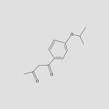 CC(=O)CC(=O)c1ccc(OC(C)C)cc1